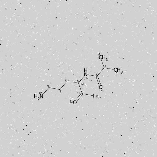 CC(C)C(=O)N[C@@H](CCCN)C(=O)I